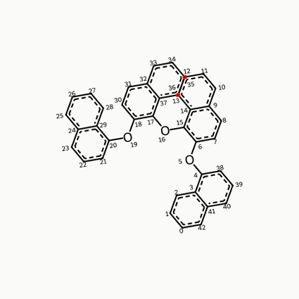 c1ccc2c(Oc3ccc4ccccc4c3Oc3c(Oc4cccc5ccccc45)ccc4ccccc34)cccc2c1